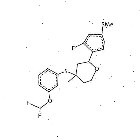 CSc1ccc(C2CC(C)(Sc3cccc(OC(F)F)c3)CCO2)c(F)c1